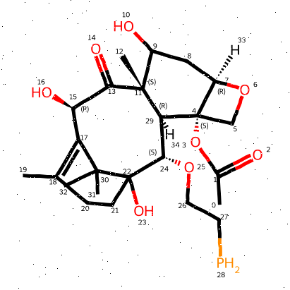 CC(=O)O[C@@]12CO[C@@H]1CC(O)[C@@]1(C)C(=O)[C@H](O)C3=C(C)CCC(O)([C@@H](OCCP)[C@H]21)C3(C)C